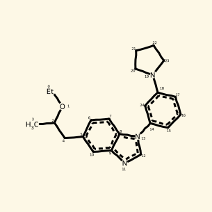 CCOC(C)Cc1ccc2c(c1)ncn2-c1cccc(N2CCCC2)c1